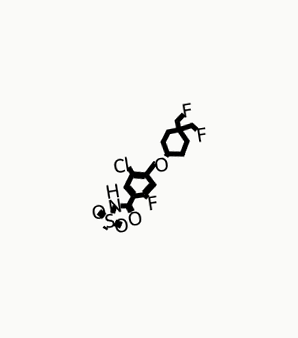 CS(=O)(=O)NC(=O)c1cc(Cl)c(COC2CCC(CF)(CF)CC2)cc1F